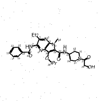 CCc1nc2c(nc1NC(=O)c1ccccc1)c(OC(C)C)c(C(=O)NC1CCN(C(=O)CO)CC1)n2C